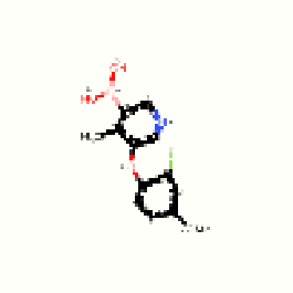 COc1ccc(Oc2cncc(B(O)O)c2C)c(F)c1